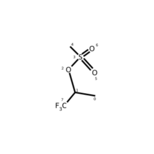 CC(OS(C)(=O)=O)C(F)(F)F